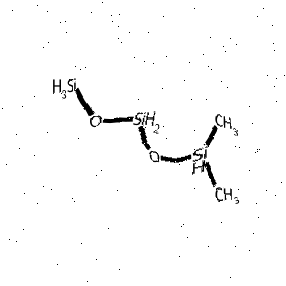 C[SiH](C)O[SiH2]O[SiH3]